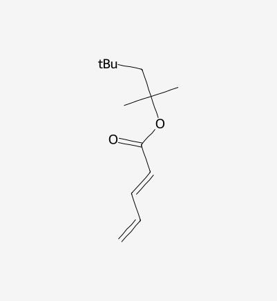 C=CC=CC(=O)OC(C)(C)CC(C)(C)C